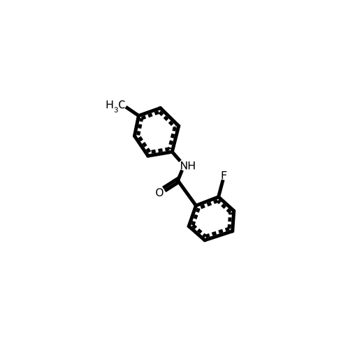 Cc1ccc(NC(=O)c2ccccc2F)cc1